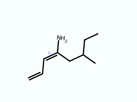 C=C/C=C(/N)CC(C)CC